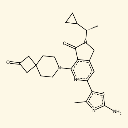 Cc1nc(N)sc1-c1cc2c(c(N3CCC4(CC3)CC(=O)C4)n1)C(=O)N([C@@H](C)C1CC1)C2